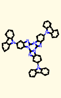 c1ccc2c(c1)c1ccccc1n2-c1ccc2c(c1)nc1n2c2nc3cc(-n4c5ccccc5c5ccccc54)ccc3n2c2nc3cc(-n4c5ccccc5c5ccccc54)ccc3n12